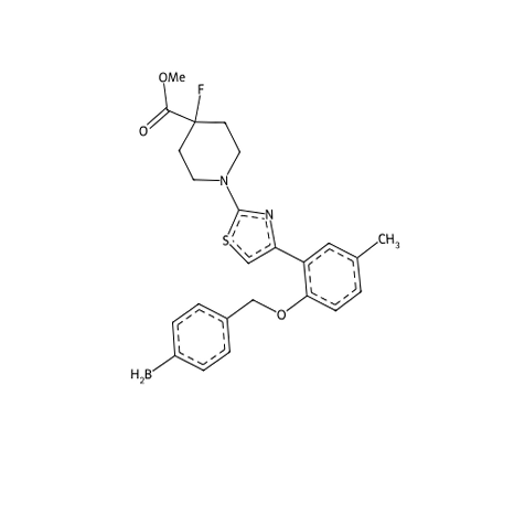 Bc1ccc(COc2ccc(C)cc2-c2csc(N3CCC(F)(C(=O)OC)CC3)n2)cc1